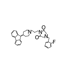 O=C1CN(Cc2ccccc2F)CC(=O)N1CCCN1CCC(=C2c3ccccc3-c3ccccc32)CC1